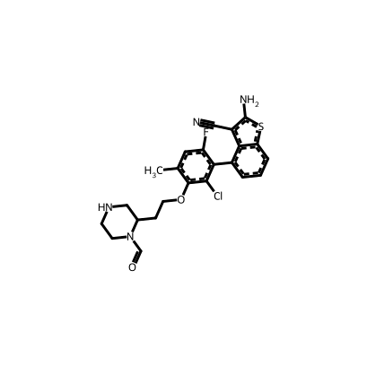 Cc1cc(F)c(-c2cccc3sc(N)c(C#N)c23)c(Cl)c1OCCC1CNCCN1C=O